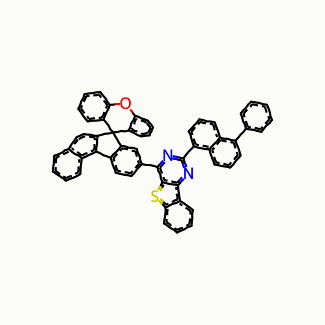 c1ccc(-c2cccc3c(-c4nc(-c5ccc6c(c5)C5(c7ccccc7Oc7ccccc75)c5ccc7ccccc7c5-6)c5sc6ccccc6c5n4)cccc23)cc1